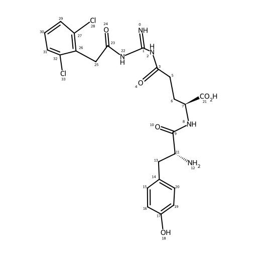 N=C(NC(=O)CC[C@H](NC(=O)[C@H](N)Cc1ccc(O)cc1)C(=O)O)NC(=O)Cc1c(Cl)cccc1Cl